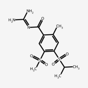 Cc1cc(S(=O)(=O)C(C)C)c(S(C)(=O)=O)cc1C(=O)N=C(N)N